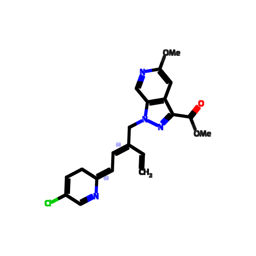 C=C/C(=C\C=C1/CC=C(Cl)C=N1)Cn1nc(C(=O)OC)c2cc(OC)ncc21